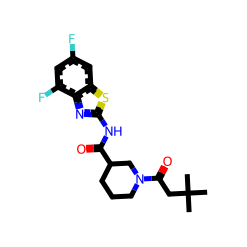 CC(C)(C)CC(=O)N1CCCC(C(=O)Nc2nc3c(F)cc(F)cc3s2)C1